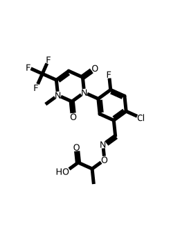 CC(O/N=C/c1cc(-n2c(=O)cc(C(F)(F)F)n(C)c2=O)c(F)cc1Cl)C(=O)O